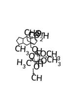 C#CCO[C@H]1[C@@H]2OC(C)(C)O[C@@H]2[C@H](OCC23CC4C(C)CCC4C4(C=O)CC2C=C(C(C)C)C43C(=O)O)O[C@@H]1C